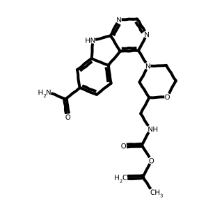 C=C(C)OC(=O)NCC1CN(c2ncnc3[nH]c4cc(C(N)=O)ccc4c23)CCO1